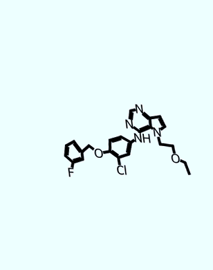 CCOCCn1ccc2ncnc(Nc3ccc(OCc4cccc(F)c4)c(Cl)c3)c21